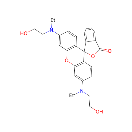 CCN(CCO)c1ccc2c(c1)Oc1cc(N(CC)CCO)ccc1C21OC(=O)c2ccccc21